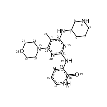 Cc1c(NC2CCCNC2)nc(Nc2ccc[nH]c2=O)nc1N1CCOCC1